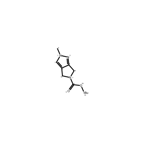 Cn1cc2c(n1)CN(C(=O)OC(C)(C)C)C2